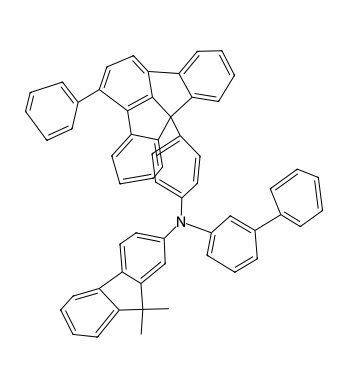 CC1(C)c2ccccc2-c2ccc(N(c3ccc(C45c6ccccc6-c6ccc(-c7ccccc7)c(c64)-c4ccccc45)cc3)c3cccc(-c4ccccc4)c3)cc21